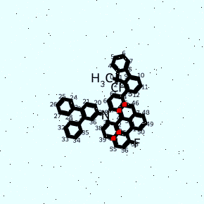 CC1(C)c2ccccc2-c2cccc(-c3ccc(N(c4ccc(-c5ccccc5)c(-c5ccccc5)c4)c4ccccc4-c4cccc5cccc(-c6ccccc6F)c45)cc3)c21